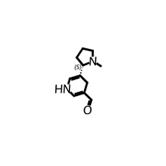 CN1CCC[C@H]1C1=CNC=C(C=O)C1